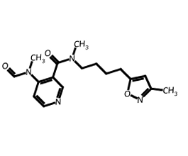 Cc1cc(CCCCN(C)C(=O)c2cnccc2N(C)C=O)on1